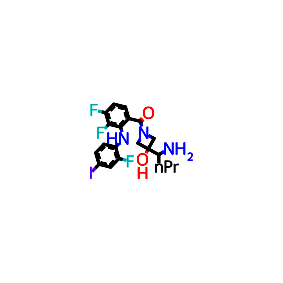 CCCC(N)C1(O)CN(C(=O)c2ccc(F)c(F)c2Nc2ccc(I)cc2F)C1